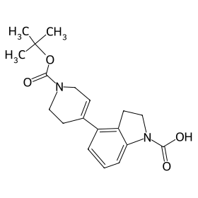 CC(C)(C)OC(=O)N1CC=C(c2cccc3c2CCN3C(=O)O)CC1